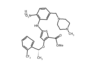 COC(=O)c1sc(Nc2cc(CN3CCN(C)CC3)ccc2[N+](=O)[O-])cc1O[C@H](C)c1ccccc1C(F)(F)F.Cl